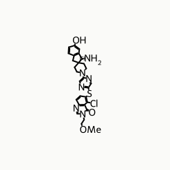 COCCn1cnc2ccc(Sc3cnc(N4CCC5(CC4)Cc4ccc(O)cc4[C@H]5N)cn3)c(Cl)c2c1=O